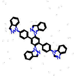 c1ccc2c(c1)cnn2-c1ccc(-c2cc(-n3ncc4ccccc43)c(-c3ccc(-n4cnc5ccccc54)cc3)cc2-n2ncc3ccccc32)cc1